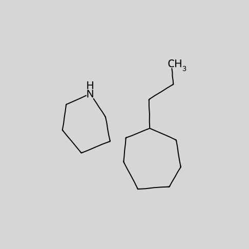 C1CCNCC1.CCCC1CCCCCC1